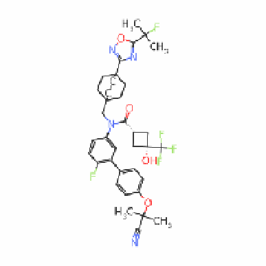 CC(C)(C#N)Oc1ccc(-c2cc(N(CC34CCC(c5noc(C(C)(C)F)n5)(CC3)CC4)C(=O)[C@H]3C[C@](O)(C(F)(F)F)C3)ccc2F)cc1